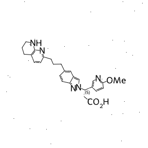 COc1ccc([C@H](CC(=O)O)n2cc3cc(CCCc4ccc5c(n4)NCCC5)ccc3n2)cn1